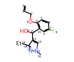 C=CCOc1ccc(F)cc1C(O)c1cn(C)nc1CC